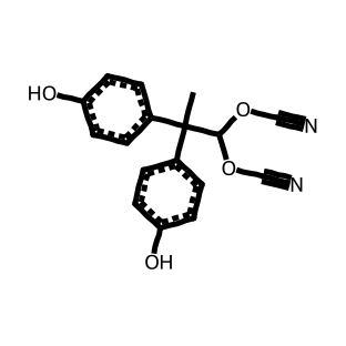 CC(c1ccc(O)cc1)(c1ccc(O)cc1)C(OC#N)OC#N